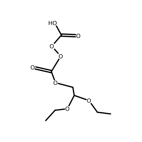 CCOC(COC(=O)OOC(=O)O)OCC